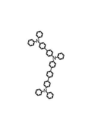 c1ccc(N(c2ccccc2)c2ccc(-c3ccc(-c4ccc(N(c5ccccc5)c5ccc(-c6ccc(N(c7ccccc7)c7ccccc7)cc6)cc5)cc4)cc3)cc2)cc1